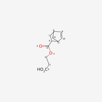 O=C(O)CCOC(=O)C1CC2C=CC1C2